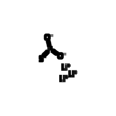 [Li+].[Li+].[Li+].[O-]P([O-])[S-]